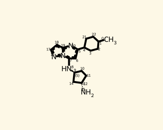 CC1CCC(c2cc(N[C@H]3CC[C@H](N)C3)n3nccc3n2)CC1